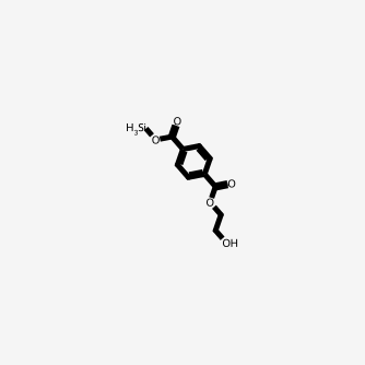 O=C(O[SiH3])c1ccc(C(=O)OCCO)cc1